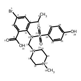 CCc1cc(Br)cc(C(=O)O)c1N(CN1CCN(C)CC1)S(=O)(=O)c1ccc(O)cc1